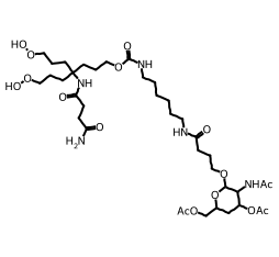 CC(=O)NC1C(OC(C)=O)CC(COC(C)=O)OC1OCCCC(=O)NCCCCCCNC(=O)OCCCC(CCCOO)(CCCOO)NC(=O)CCC(N)=O